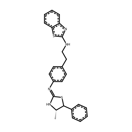 C[C@@H]1N/C(=N/c2ccc(CCNc3nc4ccccc4s3)cc2)SC1c1ccccc1